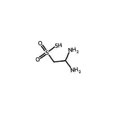 NC(N)CS(=O)(=O)S